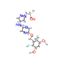 COc1cc(OC)c(F)c(COc2cnc(Nc3cnn(C[C@H](C)O)c3)cn2)c1F